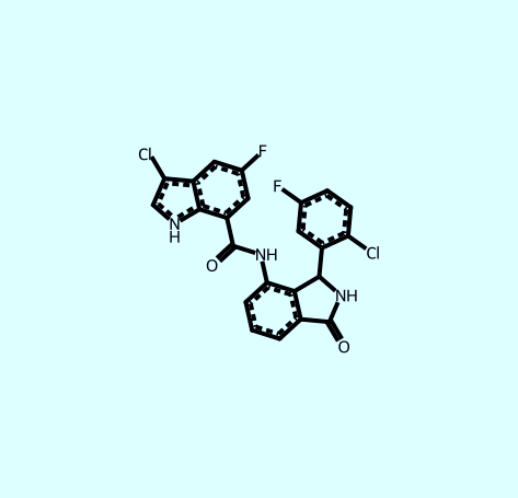 O=C1NC(c2cc(F)ccc2Cl)c2c(NC(=O)c3cc(F)cc4c(Cl)c[nH]c34)cccc21